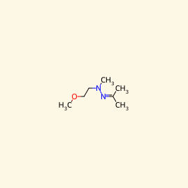 COCCN(C)N=C(C)C